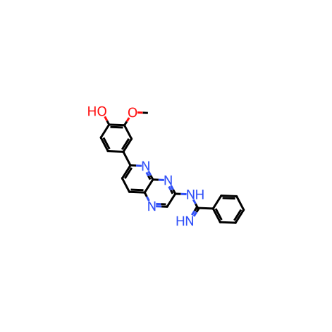 COc1cc(-c2ccc3ncc(NC(=N)c4ccccc4)nc3n2)ccc1O